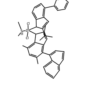 CC1=Cc2c(-c3cccc4ccccc34)c(C)cc(C)c2[CH]1[Zr]([Cl])([Cl])([CH]1C(C(C)C)=Cc2c(-c3ccccc3)cccc21)[SiH](C)C